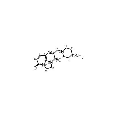 NC1CCN(Cc2nc3ccc(=O)n4c3n(c2=O)CC4)CC1